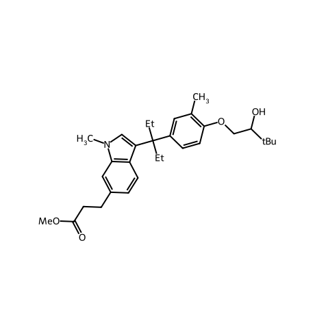 CCC(CC)(c1ccc(OCC(O)C(C)(C)C)c(C)c1)c1cn(C)c2cc(CCC(=O)OC)ccc12